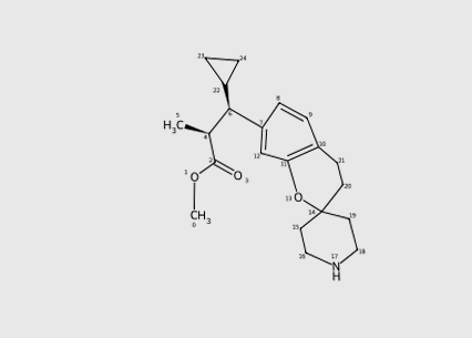 COC(=O)[C@@H](C)[C@H](c1ccc2c(c1)OC1(CCNCC1)CC2)C1CC1